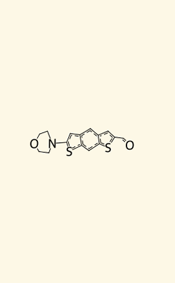 O=Cc1cc2cc3cc(N4CCOCC4)sc3cc2s1